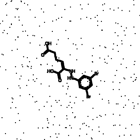 O=C(O)CCC=C(NNc1cc(Br)cc(Br)c1)C(=O)O